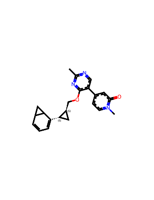 Cc1ncc(-c2ccn(C)c(=O)c2)c(OC[C@H]2C[C@@H]2C2=CC=CC3CC23)n1